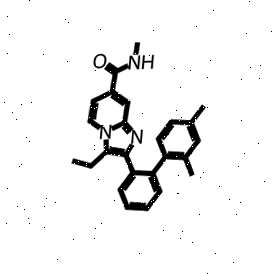 CCc1c(-c2ccccc2-c2ccc(C)cc2C)nc2cc(C(=O)NC)ccn12